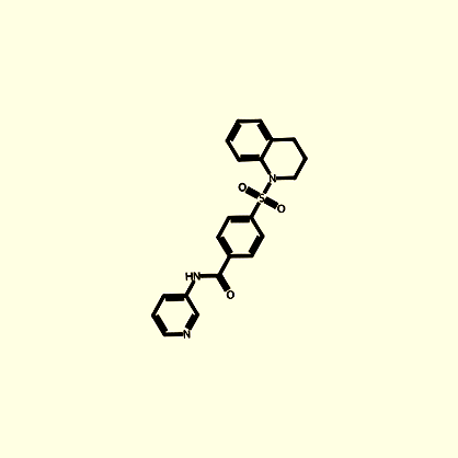 O=C(Nc1cccnc1)c1ccc(S(=O)(=O)N2CCCc3ccccc32)cc1